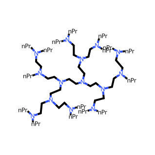 CCCN(CCC)CCN(CCC)CCN(CCN(CCC)CCC)CCN(CCN(CCN(CCC)CCC)CCN(CCC)CCC)CCN(CCN(CCC)CCN(CCC)CCC)CCN(CCN(CCC)CCC)CCN(CCC)CCC